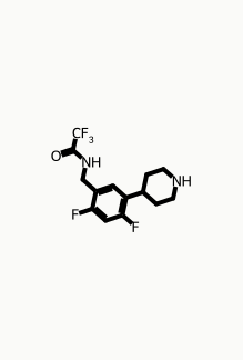 O=C(NCc1cc(C2CCNCC2)c(F)cc1F)C(F)(F)F